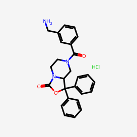 Cl.NCc1cccc(C(=O)N2CCN3C(=O)OC(c4ccccc4)(c4ccccc4)C3C2)c1